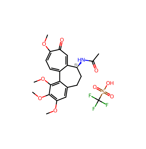 COc1cc2c(c(OC)c1OC)-c1ccc(OC)c(=O)cc1[C@@H](NC(C)=O)CC2.O=S(=O)(O)C(F)(F)F